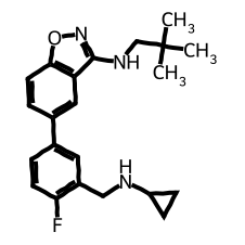 CC(C)(C)CNc1noc2ccc(-c3ccc(F)c(CNC4CC4)c3)cc12